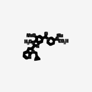 COc1cc(C(=O)N2CCCC(N(C(=O)O)C(C)(C)C)C2)cc2nc(-c3cc4cccnc4n3CC3CC3)n(C)c12